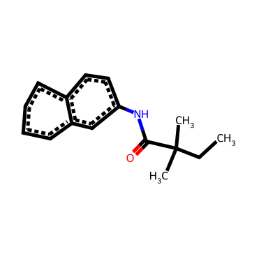 CCC(C)(C)C(=O)Nc1ccc2ccccc2c1